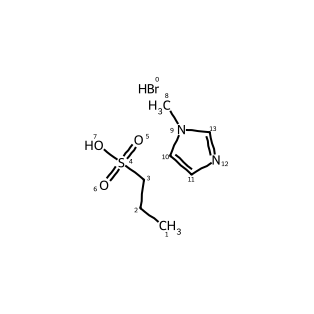 Br.CCCS(=O)(=O)O.Cn1ccnc1